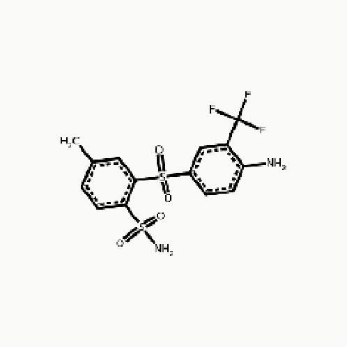 Cc1ccc(S(N)(=O)=O)c(S(=O)(=O)c2ccc(N)c(C(F)(F)F)c2)c1